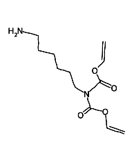 C=COC(=O)N(CCCCCCN)C(=O)OC=C